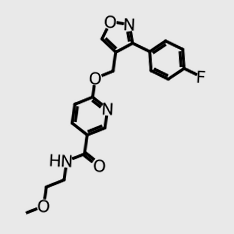 COCCNC(=O)c1ccc(OCc2conc2-c2ccc(F)cc2)nc1